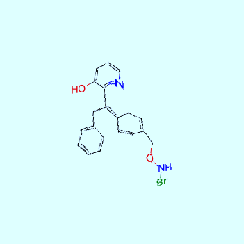 Oc1cccnc1C(Cc1ccccc1)=C1C=CC(CONBr)=CC1